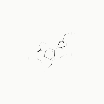 COC(=O)[C@H]1O[C@@H](n2cc(CC=O)nn2)[C@H](CC(=O)O)[C@@H](CC(=O)O)[C@@H]1CC(=O)O